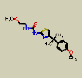 COCCNC(=O)Nc1nc(C(C)(C)c2ccc(OC)cc2)cs1